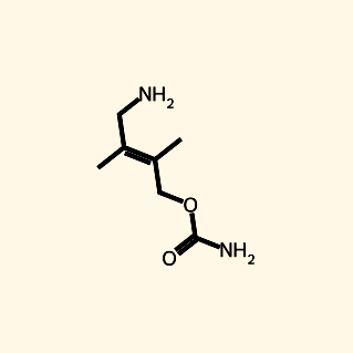 CC(CN)=C(C)COC(N)=O